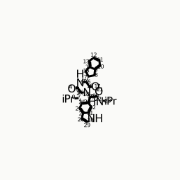 CC(C)C[C@@H]1C(=O)N[C@H](C2Cc3ccccc3C2)C(=O)N1[C@@H](C(=O)NC(C)C)c1ccc2cc[nH]c2c1